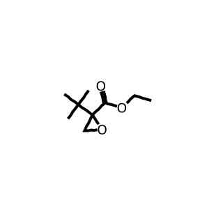 CCOC(=O)C1(C(C)(C)C)CO1